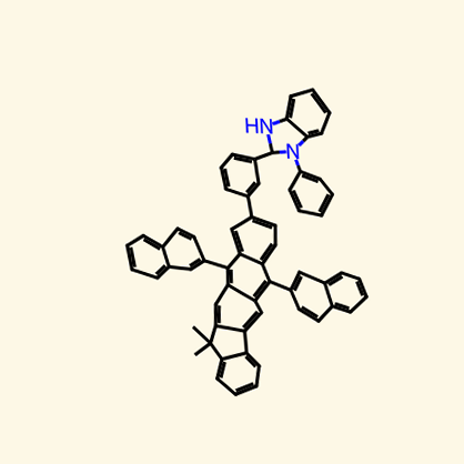 CC1(C)c2ccccc2-c2cc3c(-c4ccc5ccccc5c4)c4ccc(-c5cccc(C6Nc7ccccc7N6c6ccccc6)c5)cc4c(-c4ccc5ccccc5c4)c3cc21